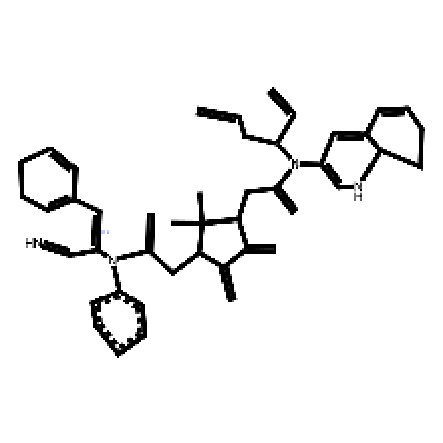 C=CCC(C=C)N(C(=C)CC1C(=C)C(=C)C(CC(=C)N(/C(C=N)=C/C2=CCCC=C2)c2ccccc2)C1(C)C)C1=CNC2CCC=CC2=C1